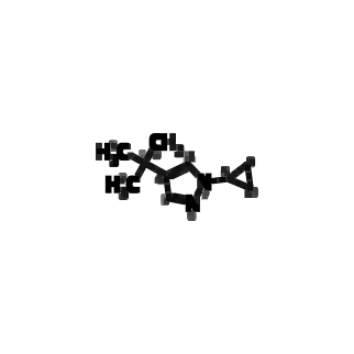 CC(C)(C)c1cnn(C2CC2)c1